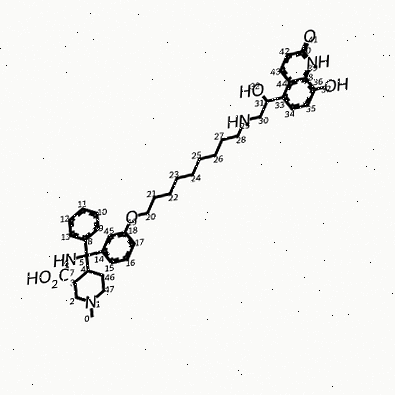 CN1CCC(C(NC(=O)O)(c2ccccc2)c2cccc(OCCCCCCCCCNCC(O)c3ccc(O)c4[nH]c(=O)ccc34)c2)CC1